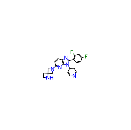 Fc1ccc(-c2nc3ccc(N4CC5(CCN5)C4)nc3n2-c2ccncc2)c(F)c1